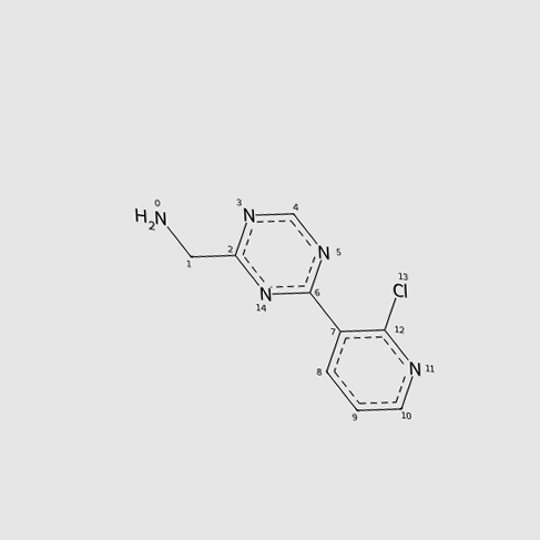 NCc1ncnc(-c2cccnc2Cl)n1